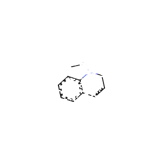 C1=Cc2ccccc2NC1.CC(C)=O